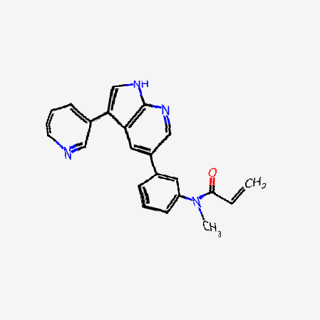 C=CC(=O)N(C)c1cccc(-c2cnc3[nH]cc(-c4cccnc4)c3c2)c1